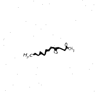 CCCCCCCCC(=O)CCC(C)=O